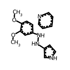 COc1ccc(NNc2cc[nH]c2)cc1OC.c1ccncc1